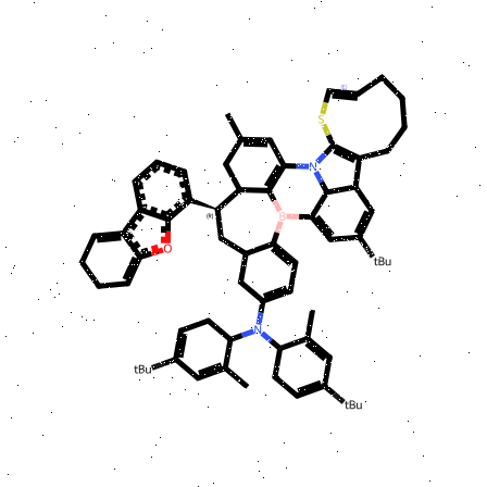 CC1=CC2=C3B(C4=CC=C(N(C5CC=C(C(C)(C)C)C=C5C)C5CC=C(C(C)(C)C)C=C5C)CC4C[C@@H](c4cccc5c6c(oc45)=CCCC=6)C3C1)C1=CC(C(C)(C)C)=CC3C4=C(S/C=C/CCCC4)N2C13